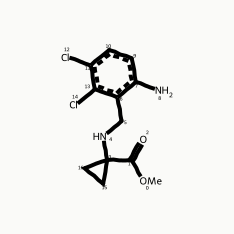 COC(=O)C1(NCc2c(N)ccc(Cl)c2Cl)CC1